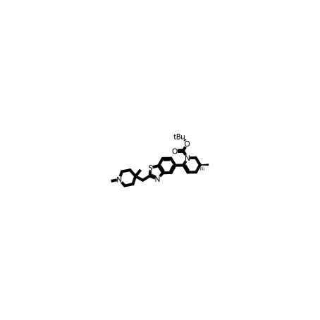 C[C@H]1CC=C(c2ccc3sc(CC4(C)CCN(C)CC4)nc3c2)N(C(=O)OC(C)(C)C)C1